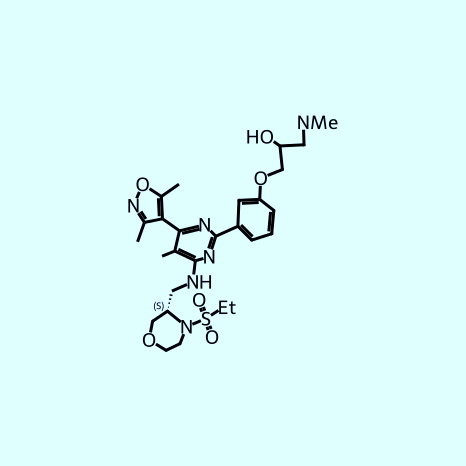 CCS(=O)(=O)N1CCOC[C@@H]1CNc1nc(-c2cccc(OCC(O)CNC)c2)nc(-c2c(C)noc2C)c1C